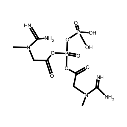 CN(CC(=O)OP(=O)(OC(=O)CN(C)C(=N)N)OP(=O)(O)O)C(=N)N